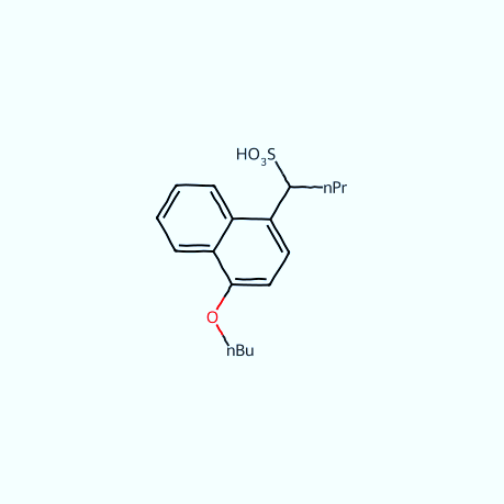 CCCCOc1ccc(C(CCC)S(=O)(=O)O)c2ccccc12